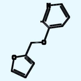 [c]1ncccc1OCc1ccco1